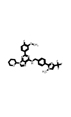 COc1cc(-c2nc(NCc3ccc(-c4nc(C(F)(F)F)cn4C)cc3)c3ncn(C4CCCCO4)c3n2)ccc1F